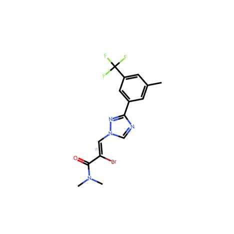 Cc1cc(-c2ncn(/C=C(\Br)C(=O)N(C)C)n2)cc(C(F)(F)F)c1